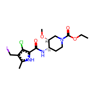 CCOC(=O)N1CC[C@H](NC(=O)c2[nH]c(C)c(CI)c2Cl)[C@H](OC)C1